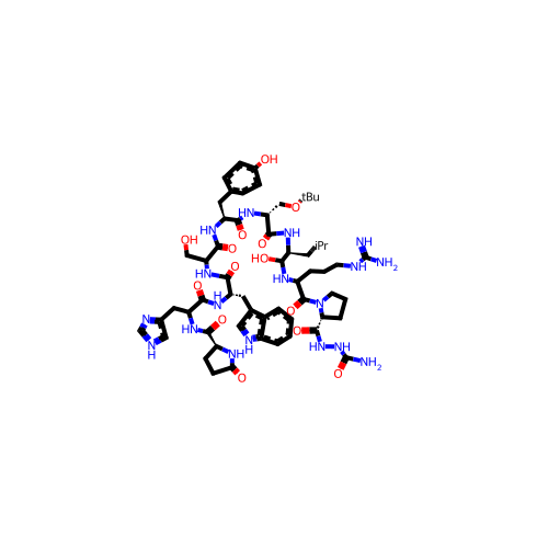 CC(C)C[C@H](NC(=O)[C@@H](COC(C)(C)C)NC(=O)[C@H](Cc1ccc(O)cc1)NC(=O)C(CO)NC(=O)[C@H](Cc1c[nH]c2ccccc12)NC(=O)C(Cc1c[nH]cn1)NC(=O)[C@@H]1CCC(=O)N1)C(O)NC(CCCNC(=N)N)C(=O)N1CCC[C@@H]1C(=O)NNC(N)=O